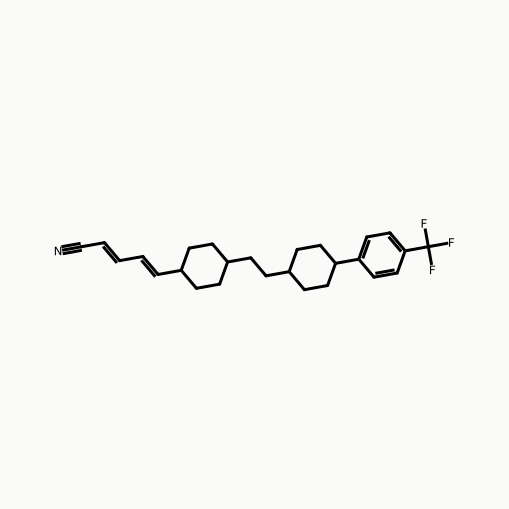 N#CC=CC=CC1CCC(CCC2CCC(c3ccc(C(F)(F)F)cc3)CC2)CC1